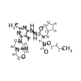 CCCCON(C=O)C[C@@H](CC1CCCC1)C(=O)NNc1nc(C)nc(N2CCN3CCOC[C@@H]3C2)c1F